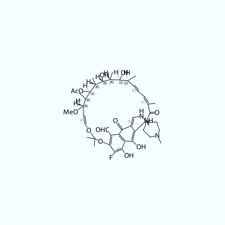 CO[C@H]1/C=C/OC(C)(C)Oc2c(F)c(O)c3c(c2C=O)C(=O)/C(=C/NN2CCN(C)CC2)C(=C3O)NC(=O)/C(C)=C\C=C\[C@H](C)[C@H](O)[C@@H](C)[C@@H](O)[C@@H](C)[C@H](OC(C)=O)[C@@H]1C